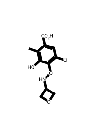 Cc1c(C(=O)O)cc(Cl)c(ONC2COC2)c1O